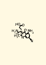 Cc1nc2cc(C#N)cc(N)c2c(=O)n1[C@@H](CCC(=O)O)C(N)=O